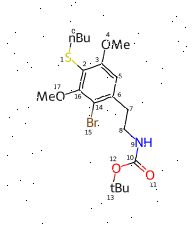 CCCCSc1c(OC)cc(CCNC(=O)OC(C)(C)C)c(Br)c1OC